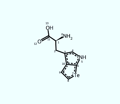 N[C@@H](Cc1c[nH]c2[te]ccc12)C(=O)O